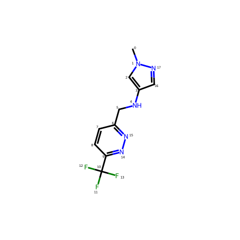 Cn1cc(NCc2ccc(C(F)(F)F)nn2)cn1